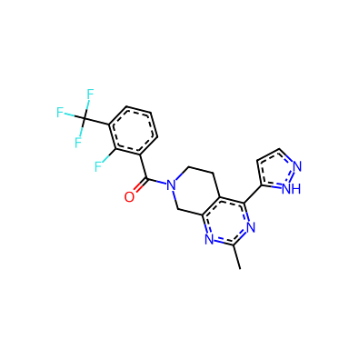 Cc1nc2c(c(-c3ccn[nH]3)n1)CCN(C(=O)c1cccc(C(F)(F)F)c1F)C2